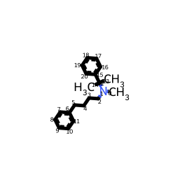 CN(CCCCc1ccccc1)C(C)(C)c1ccccc1